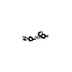 Fc1ccc2c(NN=Cc3ccc(-n4ccnc4)cc3)ccnc2c1